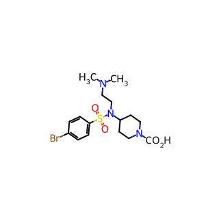 CN(C)CCN(C1CCN(C(=O)O)CC1)S(=O)(=O)c1ccc(Br)cc1